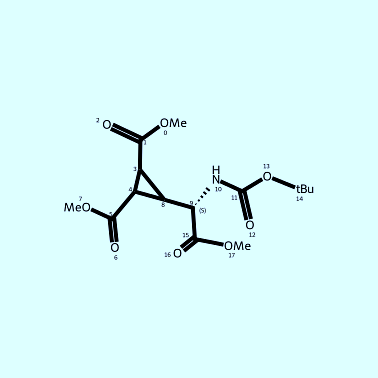 COC(=O)C1C(C(=O)OC)C1[C@H](NC(=O)OC(C)(C)C)C(=O)OC